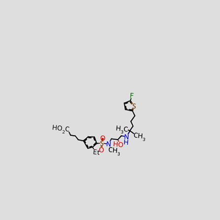 CCc1cc(CCCC(=O)O)ccc1S(=O)(=O)N(C)C[C@H](O)CNC(C)(C)CCCc1ccc(F)s1